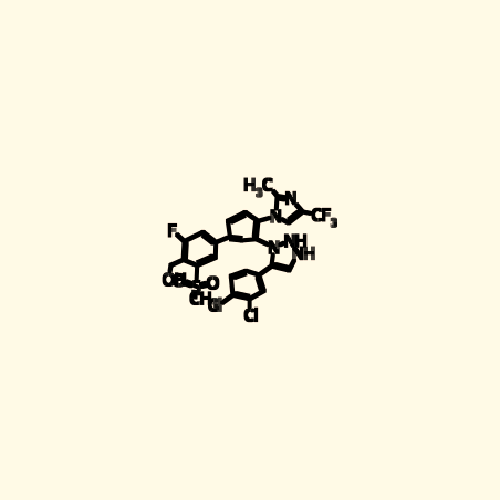 Cc1nc(C(F)(F)F)cn1-c1ccc(-c2cc(F)c(CO)c(S(C)(=O)=O)c2)cc1N1NNC=C1c1ccc(Cl)c(Cl)c1